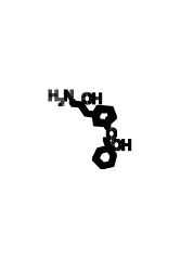 NC[C@H](O)Cc1cccc(OCC2(O)CCCCC2)c1